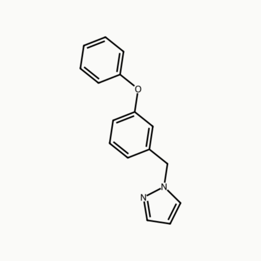 c1ccc(Oc2cccc(Cn3cccn3)c2)cc1